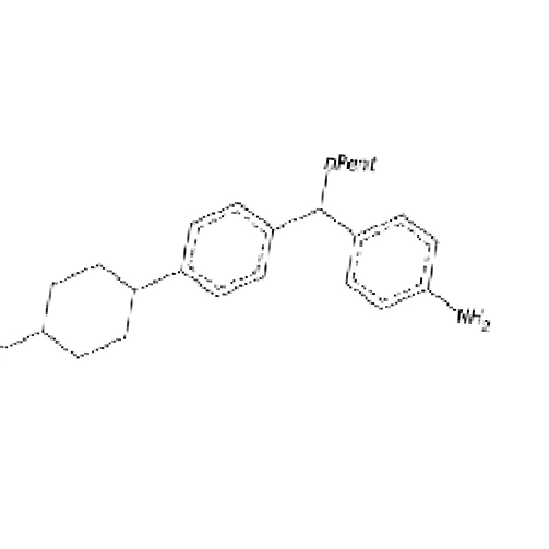 CCCCCC(c1ccc(N)cc1)c1ccc(C2CCC(C)CC2)cc1